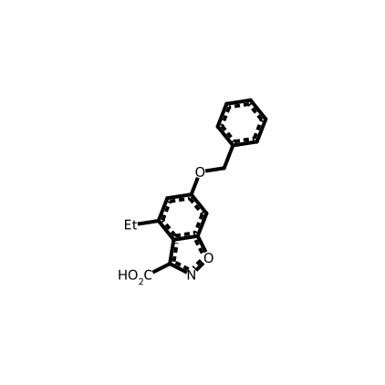 CCc1cc(OCc2ccccc2)cc2onc(C(=O)O)c12